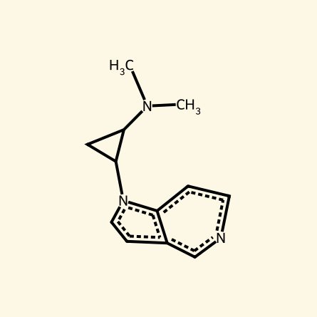 CN(C)C1CC1n1ccc2cnccc21